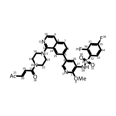 COc1ncc(-c2ccc3ccnc(N4CCN(C(=O)C=CC(C)=O)CC4)c3c2)cc1NS(=O)(=O)c1ccc(F)cc1F